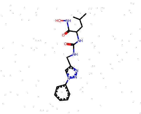 CC(C)CC(NC(=O)NCc1cn(-c2ccccc2)nn1)C(=O)NO